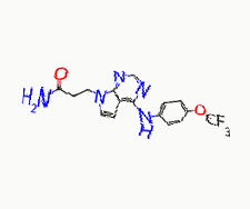 NC(=O)CCn1ccc2c(Nc3ccc(OC(F)(F)F)cc3)ncnc21